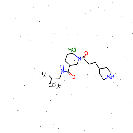 CC(CNC(=O)C1CCCN(C(=O)CCC2CCNCC2)C1)C(=O)O.Cl